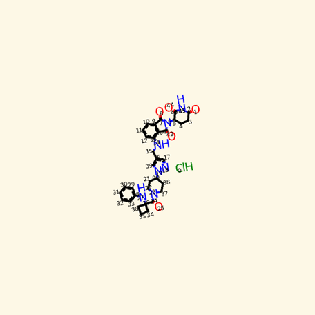 Cl.O=C1CCC(N2C(=O)c3cccc(NCc4cnn(C5CCN(C(=O)C6(Nc7ccccc7)CCC6)CC5)c4)c3C2=O)C(=O)N1